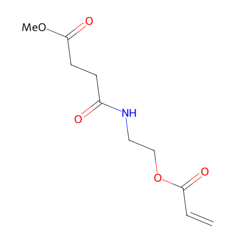 C=CC(=O)OCCNC(=O)CCC(=O)OC